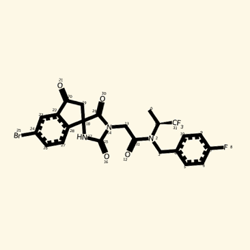 C[C@H](N(Cc1ccc(F)cc1)C(=O)CN1C(=O)NC2(CC(=O)c3cc(Br)ccc32)C1=O)C(F)(F)F